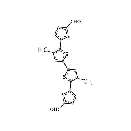 Cc1cc(-c2cc(C)c(-c3ccc(C=O)s3)s2)sc1-c1ccc(C=O)s1